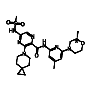 Cc1cc(NC(=O)c2ncc(NS(C)(=O)=O)nc2N2CCC3(CC2)CC3)nc(N2CCO[C@H](C)C2)c1